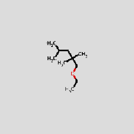 [CH2]C(C)CC(C)(C)COCC